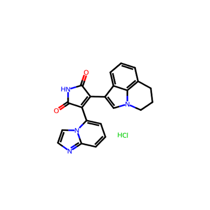 Cl.O=C1NC(=O)C(c2cccc3nccn23)=C1c1cn2c3c(cccc13)CCC2